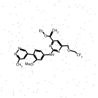 C=C(OCC)c1cc(COCC(F)(F)F)nc(Nc2ccc(-c3cnnc(C)c3)c(OC)c2)n1